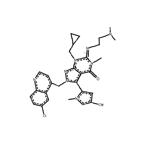 CN(C)CC/N=c1\n(C)c(=O)c2c(-c3cc(C#N)cn3C)n(Cc3ccnc4ccc(Cl)cc34)nc2n1CC1CC1